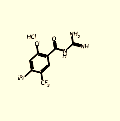 CC(C)c1cc(Cl)c(C(=O)NC(=N)N)cc1C(F)(F)F.Cl